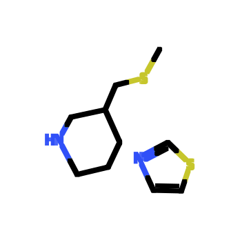 CSCC1CCCNC1.c1cscn1